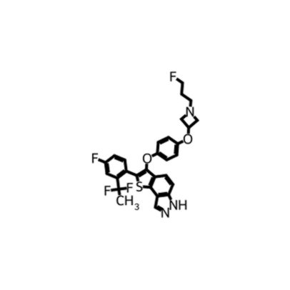 CC(F)(F)c1cc(F)ccc1-c1sc2c(ccc3[nH]ncc32)c1Oc1ccc(OC2CN(CCCF)C2)cc1